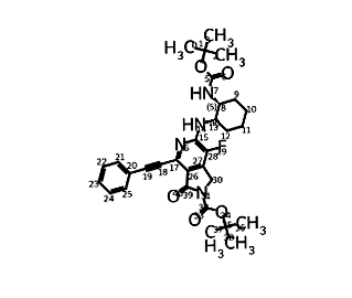 CC(C)(C)OC(=O)N[C@H]1CCCC[C@H]1Nc1nc(C#Cc2ccccc2)c2c(c1F)CN(C(=O)OC(C)(C)C)C2=O